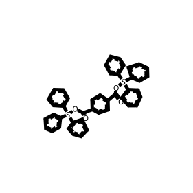 O=C(OS(c1ccccc1)(c1ccccc1)c1ccccc1)c1ccc(C(=O)OS(c2ccccc2)(c2ccccc2)c2ccccc2)cc1